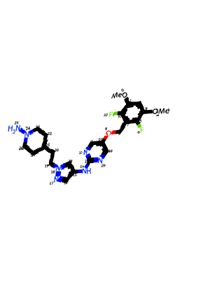 COc1cc(OC)c(F)c(COc2cnc(Nc3cnn(CCC4CCN(N)CC4)c3)nc2)c1F